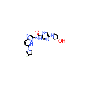 O=C(Nc1cnc2ccc(N3CCC(F)C3)nn12)c1cnc(N2CCC(O)C2)cn1